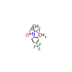 Cc1cc(C(F)(F)F)ccc1N1C(=O)CN(C)C1=O